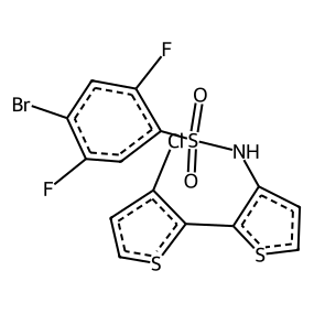 O=S(=O)(Nc1ccsc1-c1sccc1Cl)c1cc(F)c(Br)cc1F